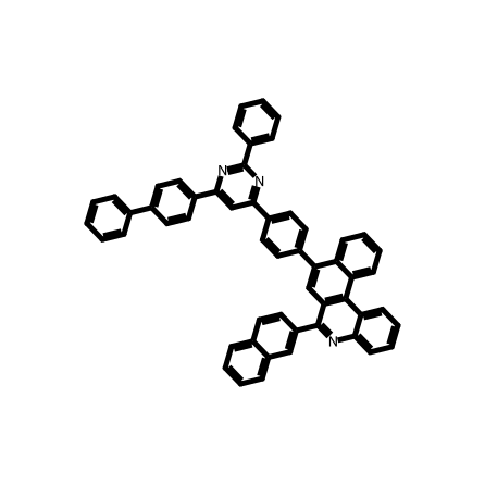 c1ccc(-c2ccc(-c3cc(-c4ccc(-c5cc6c(-c7ccc8ccccc8c7)nc7ccccc7c6c6ccccc56)cc4)nc(-c4ccccc4)n3)cc2)cc1